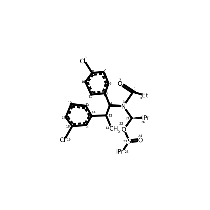 CCC(=O)N(C(c1ccc(Cl)cc1)C(C)c1cccc(Cl)c1)[C@H](OS(=O)C(C)C)C(C)C